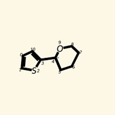 c1csc([C]2CCCCO2)c1